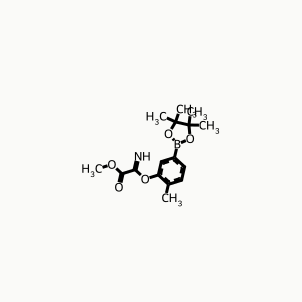 COC(=O)C(=N)Oc1cc(B2OC(C)(C)C(C)(C)O2)ccc1C